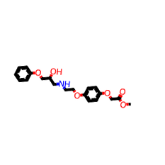 COC(=O)COc1ccc(OCCNCC(O)COc2ccccc2)cc1